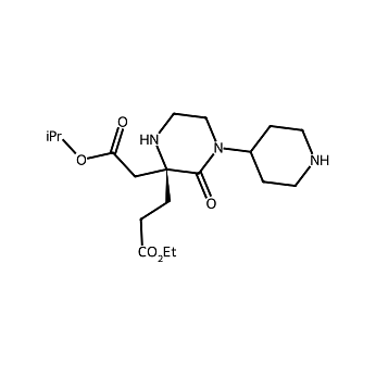 CCOC(=O)CC[C@@]1(CC(=O)OC(C)C)NCCN(C2CCNCC2)C1=O